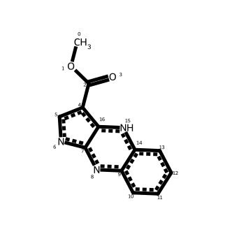 COC(=O)c1cnc2nc3ccccc3[nH]c1-2